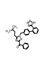 CC(C)CCc1nc(C(=O)c2ccccc2)nn1Cc1ccc(-c2ccccc2-c2nnn[nH]2)cc1